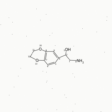 NCC(O)c1ccc2c(c1)OCCO2